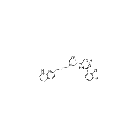 O=C(NC(CCN(CCCCc1ccc2c(n1)NCCC2)CC(F)(F)F)C(=O)O)c1cccc(F)c1Cl